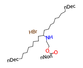 Br.CCCCCCCCCCCCCCCCCCC(CCCCCCCCCCCCCCCCCC)NCCOC(=O)CCCCCCCCC